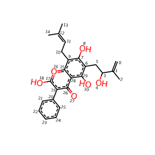 C=C(C)C(O)Cc1c(O)c(CC=C(C)C)c2oc(O)c(-c3ccccc3)c(=O)c2c1O